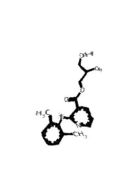 Cc1cccc(C)c1Nc1ncccc1C(=O)OCC(O)CO